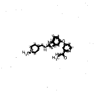 CNC(=O)c1cc(Oc2ccc3nc(NCC4CCN(C)CC4)sc3c2)ccn1